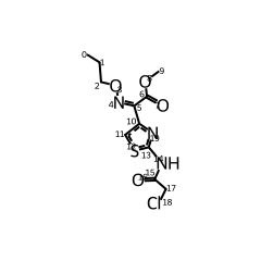 CCCON=C(C(=O)OC)c1csc(NC(=O)CCl)n1